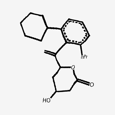 C=C(c1c(CCC)cccc1C1CCCCC1)C1CC(O)CC(=O)O1